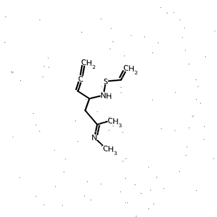 C=C=CC(C/C(C)=N/C)NSC=C